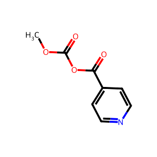 COC(=O)OC(=O)c1ccncc1